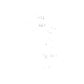 CCC1NC(c2ccc3c(c2)CC[C@H]3NC(=O)C2CCNC3(CCCCCCCCC3)N2)NO1